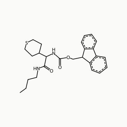 CCCCNC(=O)C(NC(=O)OCC1c2ccccc2-c2ccccc21)C1CCSCC1